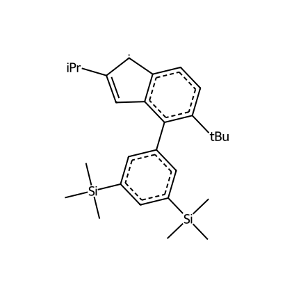 CC(C)C1=Cc2c(ccc(C(C)(C)C)c2-c2cc([Si](C)(C)C)cc([Si](C)(C)C)c2)[CH]1